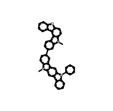 Cn1c2ccc(-c3ccc4c5c6c(ccc5n(C)c4c3)oc3ccccc36)cc2c2cc3c(cc21)c1ccccc1n3-c1ccccc1